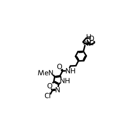 CNc1c(C(=O)NCCc2ccc(N3CC4CNCC3CO4)cc2)[nH]c2nc(Cl)oc12